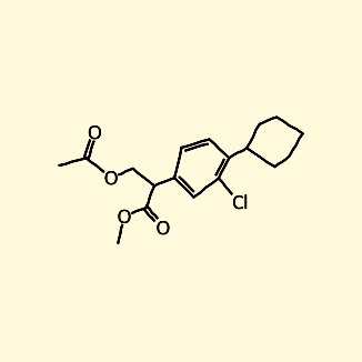 COC(=O)C(COC(C)=O)c1ccc(C2CCCCC2)c(Cl)c1